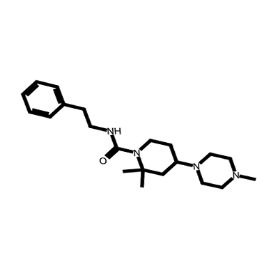 CN1CCN(C2CCN(C(=O)NCCc3ccccc3)C(C)(C)C2)CC1